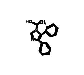 CC(O)n1cnc(-c2ccccc2)c1-c1ccccc1